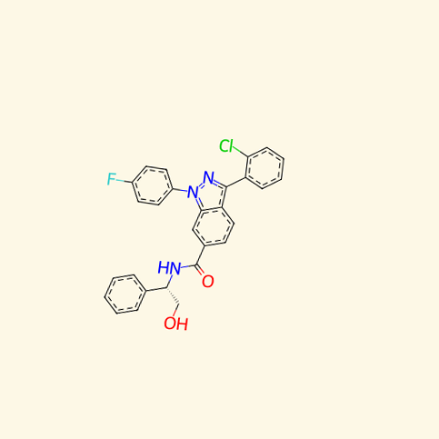 O=C(N[C@H](CO)c1ccccc1)c1ccc2c(-c3ccccc3Cl)nn(-c3ccc(F)cc3)c2c1